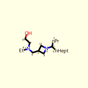 CCCCCCCC(CCC)N1CC(CN(CC)CCO)C1